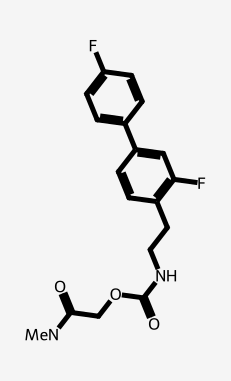 CNC(=O)COC(=O)NCCc1ccc(-c2ccc(F)cc2)cc1F